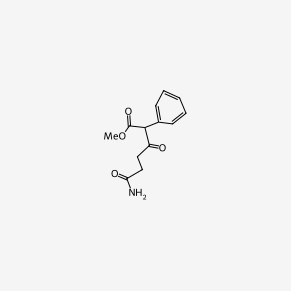 COC(=O)C(C(=O)CCC(N)=O)c1ccccc1